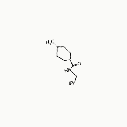 CC(C)CNC(=O)[C@H]1CC[C@H](C)CC1